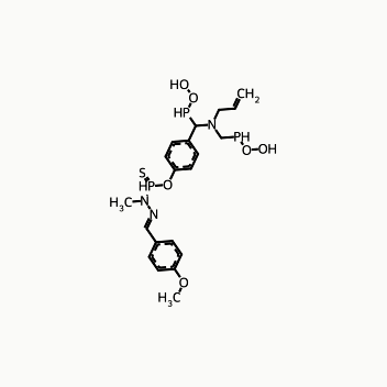 C=CCN(CPOO)C(POO)c1ccc(O[PH](=S)N(C)/N=C/c2ccc(OC)cc2)cc1